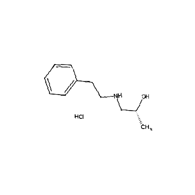 C[C@@H](O)CNCCc1ccccc1.Cl